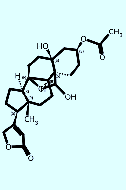 CC(=O)O[C@H]1CC[C@@]23C(O)O[C@]4(CC[C@]2(O)C1)[C@@H]1CC[C@H](C2=CC(=O)OC2)[C@@]1(C)CC[C@@H]43